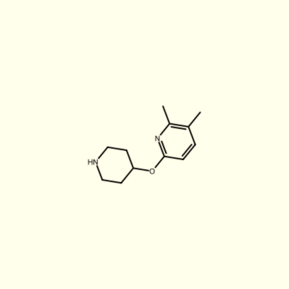 Cc1ccc(OC2CCNCC2)nc1C